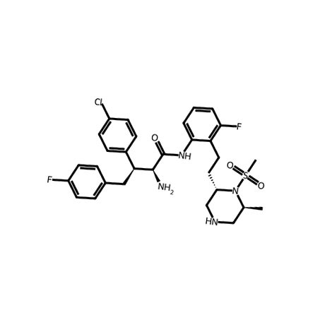 C[C@H]1CNC[C@H](CCc2c(F)cccc2NC(=O)[C@@H](N)[C@@H](Cc2ccc(F)cc2)c2ccc(Cl)cc2)N1S(C)(=O)=O